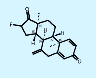 C=C1CC2=CC(=O)C=C[C@]2(C)[C@H]2CC[C@]3(C)C(=O)C(F)C[C@H]3[C@H]12